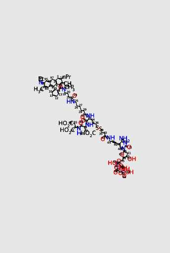 CCCc1cc2c(cc1C)C(c1ccccc1C(=O)N(C)CCCC(=O)NCCCCCC(=O)NC(CCCSSCCC(=O)NCC#Cc1cn([C@H]3CC(O)[C@@H](COP(=O)(O)OP(=O)(O)OP(=O)(O)O)O3)c(=O)nc1N)C(=O)NC(CC(=O)O)C(=O)NC(CC(=O)O)C(=O)O)C1C=C(C)/C(=N/CC)C=C1C2